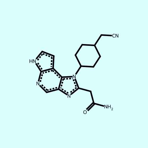 N#CCC1CCC(n2c(CC(N)=O)nc3cnc4[nH]ccc4c32)CC1